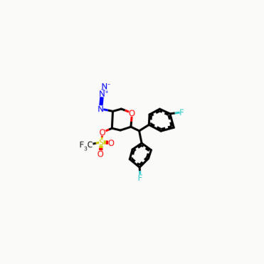 [N-]=[N+]=NC1COC(C(c2ccc(F)cc2)c2ccc(F)cc2)CC1OS(=O)(=O)C(F)(F)F